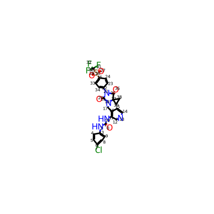 O=C(Nc1ccc(Cl)cc1)Nc1cnccc1CN1C(=O)N(c2ccc(S(=O)(=O)C(F)(F)F)cc2)C(=O)C12CC2